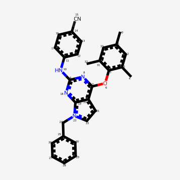 Cc1cc(C)c(Oc2nc(Nc3ccc(C#N)cc3)nc3c2ccn3Cc2ccccc2)c(C)c1